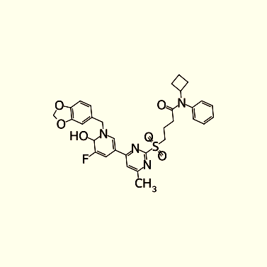 Cc1cc(C2=CN(Cc3ccc4c(c3)OCO4)C(O)C(F)=C2)nc(S(=O)(=O)CCCC(=O)N(c2ccccc2)C2CCC2)n1